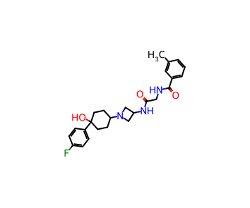 Cc1cccc(C(=O)NCC(=O)NC2CN(C3CCC(O)(c4ccc(F)cc4)CC3)C2)c1